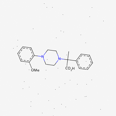 COc1ccccc1N1CCN(C(C)(C(=O)O)c2ccccc2)CC1